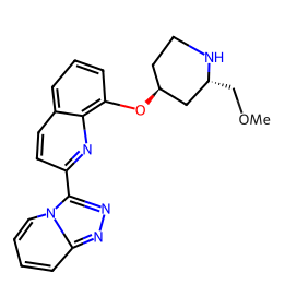 COC[C@@H]1C[C@@H](Oc2cccc3ccc(-c4nnc5ccccn45)nc23)CCN1